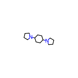 C1CCN(C2CCC(N3CCCC3)CC2)C1